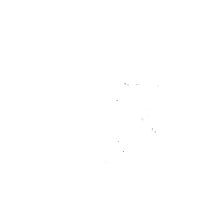 CN(Cc1ccc(F)cc1)C(=O)c1cc(Br)c[nH]c1=O